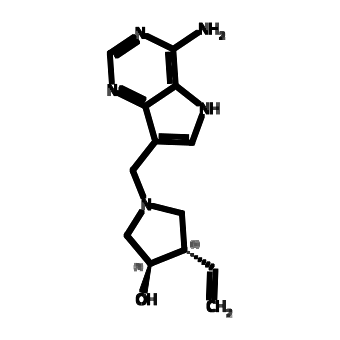 C=C[C@H]1CN(Cc2c[nH]c3c(N)ncnc23)C[C@@H]1O